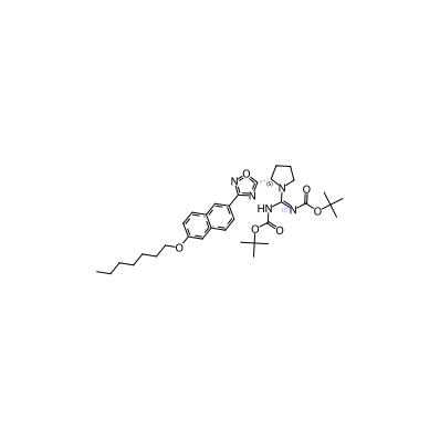 CCCCCCCOc1ccc2cc(-c3noc([C@@H]4CCCN4/C(=N\C(=O)OC(C)(C)C)NC(=O)OC(C)(C)C)n3)ccc2c1